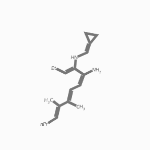 CC/C=C(NC=C1CC1)/C(N)=C\C=C(C)\C(C)=C\CCC